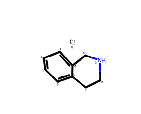 [C].c1ccc2c(c1)CCNC2